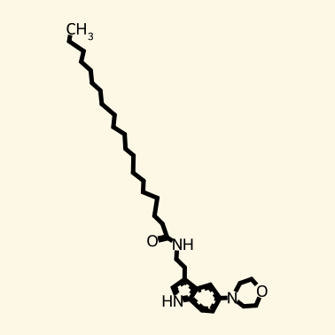 CCCCCCCCCCCCCCCCCCCC(=O)NCCc1c[nH]c2ccc(N3CCOCC3)cc12